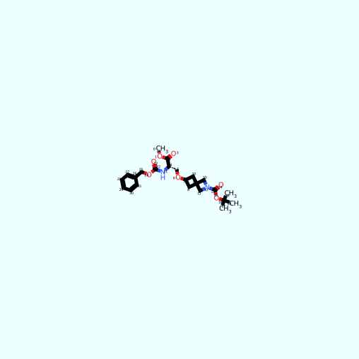 COC(=O)[C@H](COC1CC2(C1)CN(C(=O)OC(C)(C)C)C2)NC(=O)OCc1ccccc1